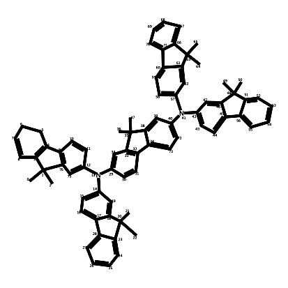 CC1(C)C2=C(CCC=C2)c2ccc(N(c3ccc4c(c3)C(C)(C)c3ccccc3-4)c3ccc4c(c3)C(C)(C)c3cc(N(c5ccc6c(c5)C(C)(C)c5ccccc5-6)c5ccc6c(c5)C(C)(C)c5ccccc5-6)ccc3-4)cc21